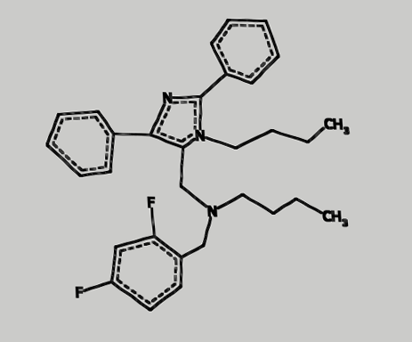 CCCCN(Cc1ccc(F)cc1F)Cc1c(-c2ccccc2)nc(-c2ccccc2)n1CCCC